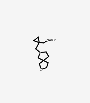 CC(C)OCC1(CN2CCC3(CCOC3)C2)CC1